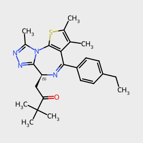 CCc1ccc(C2=N[C@@H](CC(=O)C(C)(C)C)c3nnc(C)n3-c3sc(C)c(C)c32)cc1